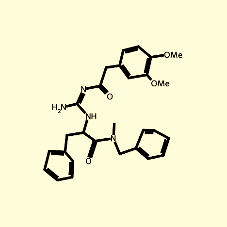 COc1ccc(CC(=O)N=C(N)NC(Cc2ccccc2)C(=O)N(C)Cc2ccccc2)cc1OC